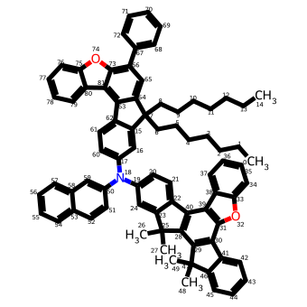 CCCCCCCC1(CCCCCCC)c2cc(N(c3ccc4c(c3)C(C)(C)c3c5c(c6oc7ccccc7c6c3-4)-c3ccccc3C5(C)C)c3ccc4ccccc4c3)ccc2-c2c1cc(-c1ccccc1)c1oc3ccccc3c21